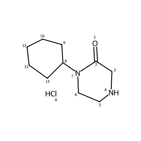 Cl.O=C1CNCCN1C1CCCCC1